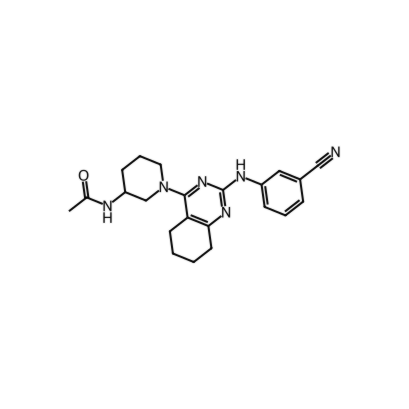 CC(=O)NC1CCCN(c2nc(Nc3cccc(C#N)c3)nc3c2CCCC3)C1